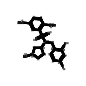 COc1ccc(OC)c(S(=O)(=O)N(Cc2ccc(F)cc2F)C2CCN(C#N)C2)c1